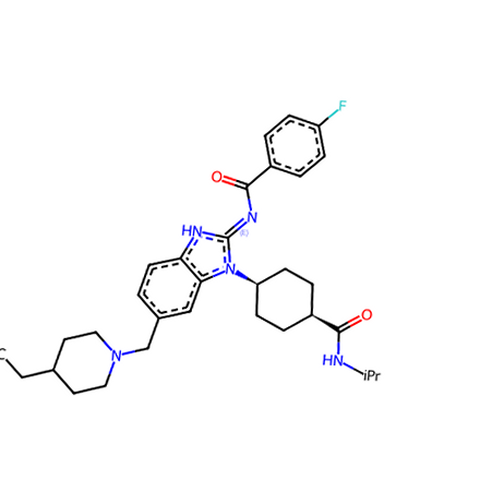 CC(C)NC(=O)[C@H]1CC[C@@H](n2/c(=N/C(=O)c3ccc(F)cc3)[nH]c3ccc(CN4CCC(CC(=O)O)CC4)cc32)CC1